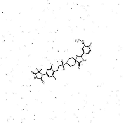 Cc1cc(N2C(=O)NC(=O)C2(C)C)cc(C)c1CCS(=O)(=O)N1CCC2(CC1)N=C(c1ccc(F)c(OC(F)(F)F)c1)NC2=O